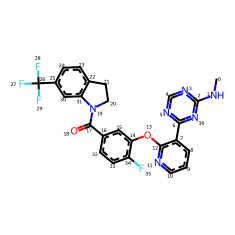 CNc1ncnc(-c2cccnc2Oc2cc(C(=O)N3CCc4ccc(C(F)(F)F)cc43)ccc2F)n1